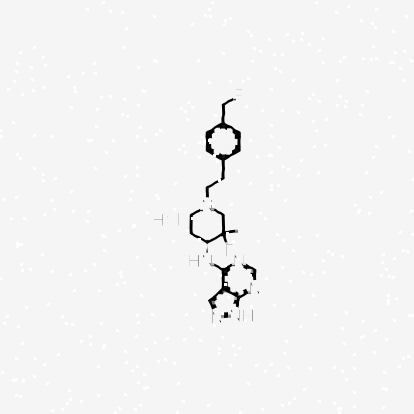 Cl.FCc1ccc(CCN2CC[C@H](Nc3ncnc4[nH]ncc34)C(F)(F)C2)cc1